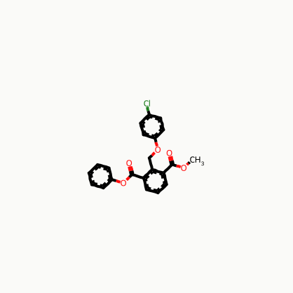 COC(=O)c1cccc(C(=O)Oc2ccccc2)c1COc1ccc(Cl)cc1